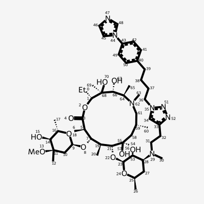 CC[C@H]1OC(=O)[C@H](C)[C@@H](O[C@H]2C[C@@](C)(OC)[C@@H](O)[C@H](C)O2)[C@H](C)[C@@H](O[C@@H]2O[C@H](C)C[C@H](N(C)CCc3cn(CCCCc4ccc(-n5ccnc5)cc4)nn3)[C@H]2O)[C@](C)(O)C[C@@H](C)CN(C)[C@H](C)[C@@H](O)[C@]1(C)O